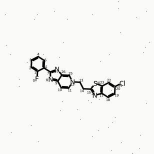 Fc1ccccc1-c1nc2ccn(CCc3nc4ccc(Cl)cc4s3)cc-2n1